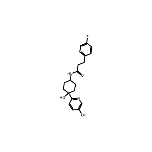 O=C(CCc1ccc(F)cc1)NC1CCC(O)(c2ccc(O)cn2)CC1